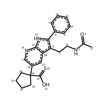 CC(=O)NCCc1c(-c2ccccc2)[nH]c2ncc(C3(C(O)=S)CCCC3)cc12